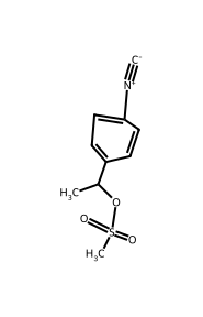 [C-]#[N+]c1ccc(C(C)OS(C)(=O)=O)cc1